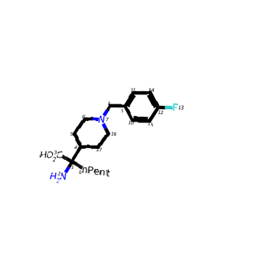 CCCCCC(N)(C(=O)O)C1CCN(Cc2ccc(F)cc2)CC1